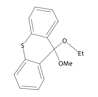 CCOC1(OC)c2ccccc2Sc2ccccc21